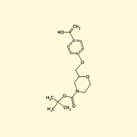 C=C(O)c1ccc(OCC2CN(C(=O)OC(C)(C)C)CCO2)cc1